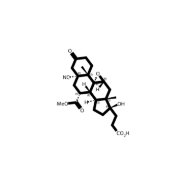 COC(=O)[C@@H]1C[C@@]2(C#N)CC(=O)CC[C@]2(C)[C@@]23O[C@@H]2C[C@@]2(C)[C@@H](CC[C@@]2(O)CCC(=O)O)[C@H]13